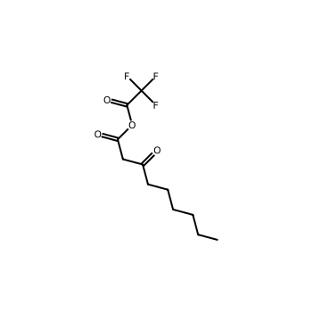 CCCCCCC(=O)CC(=O)OC(=O)C(F)(F)F